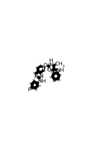 CC(NC(=O)ON1CCc2cnc(Nc3ccc(F)cc3)nc2C1)c1nc2ccccc2[nH]1